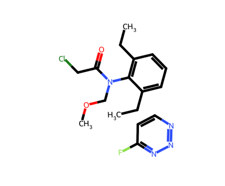 CCc1cccc(CC)c1N(COC)C(=O)CCl.Fc1ccnnn1